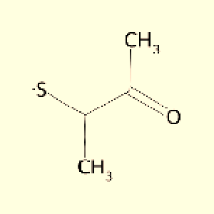 CC(=O)C(C)[S]